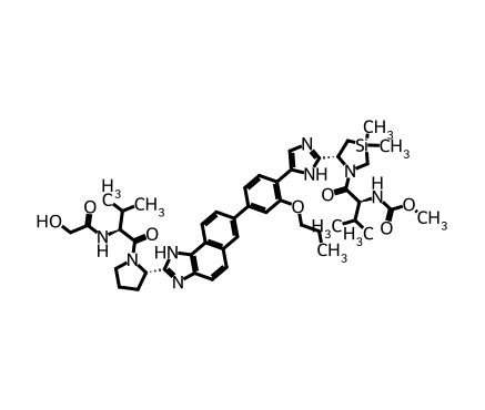 CCCOc1cc(-c2ccc3c(ccc4nc([C@@H]5CCCN5C(=O)[C@@H](NC(=O)CO)C(C)C)[nH]c43)c2)ccc1-c1cnc([C@@H]2C[Si](C)(C)CN2C(=O)[C@@H](NC(=O)OC)C(C)C)[nH]1